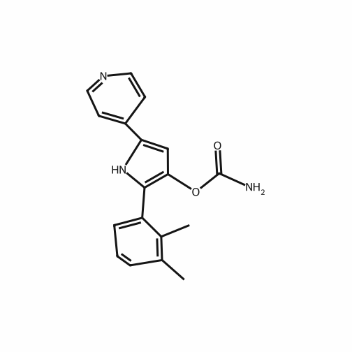 Cc1cccc(-c2[nH]c(-c3ccncc3)cc2OC(N)=O)c1C